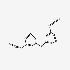 O=C=Nc1cccc(Sc2cccc(N=C=O)c2)c1